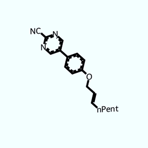 CCCCC/C=C/COc1ccc(-c2cnc(C#N)nc2)cc1